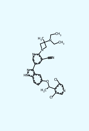 CCN(CC)C1(C)CN(c2ncc(-c3n[nH]c4ccc(O[C@H](C)c5c(Cl)cncc5Cl)cc34)cc2C#N)C1